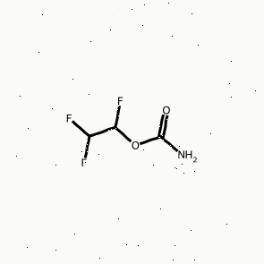 NC(=O)OC(F)C(F)F